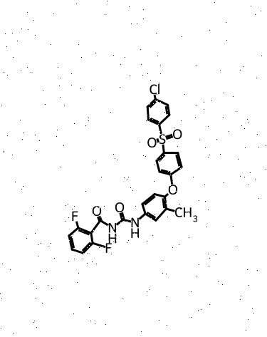 Cc1cc(NC(=O)NC(=O)c2c(F)cccc2F)ccc1Oc1ccc(S(=O)(=O)c2ccc(Cl)cc2)cc1